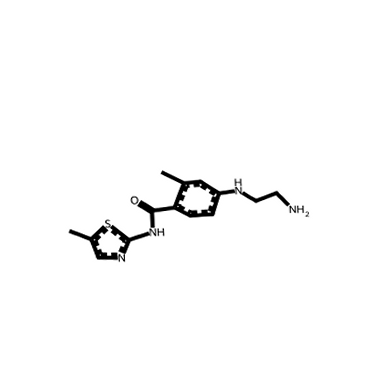 Cc1cnc(NC(=O)c2ccc(NCCN)cc2C)s1